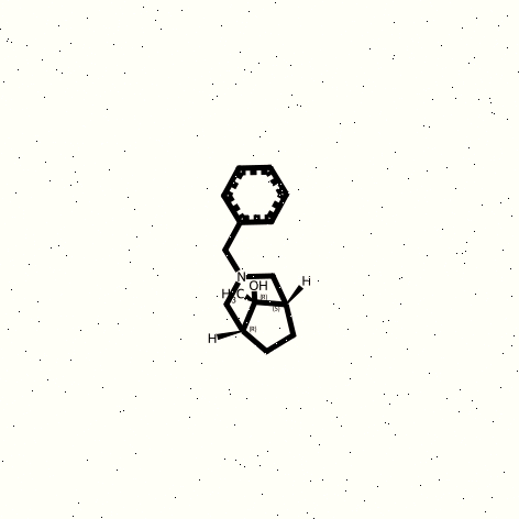 C[C@]1(O)[C@@H]2CC[C@H]1CN(Cc1ccccc1)C2